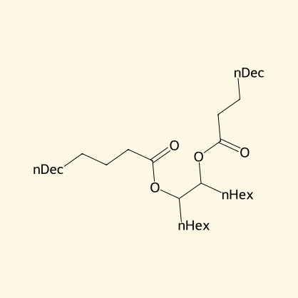 CCCCCCCCCCCCCC(=O)OC(CCCCCC)C(CCCCCC)OC(=O)CCCCCCCCCCCC